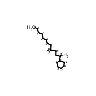 CCCCCCCCC(=O)CCC(C)C1CCCCC1